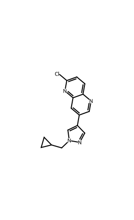 Clc1ccc2ncc(-c3cnn(CC4CC4)c3)cc2n1